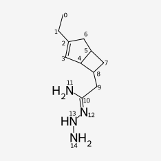 CCC1=CC2C(C1)CC2C/C(N)=N/NN